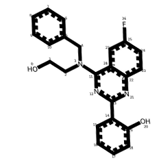 OCCN(Cc1ccccc1)c1nc(-c2ccccc2O)nc2ccc(F)cc12